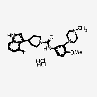 COc1ccc(NC(=O)N2CCC(c3c[nH]c4cccc(F)c34)CC2)cc1N1CCN(C)CC1.Cl.Cl